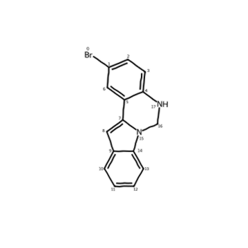 Brc1ccc2c(c1)-c1cc3ccccc3n1CN2